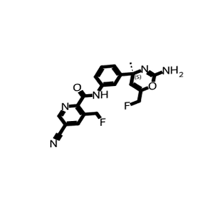 C[C@@]1(c2cccc(NC(=O)c3ncc(C#N)cc3CF)c2)C=C(CF)OC(N)=N1